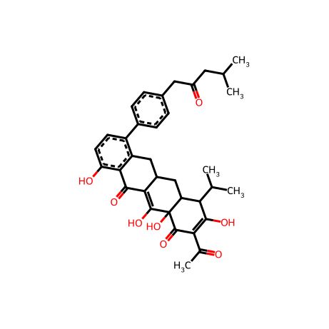 CC(=O)C1=C(O)C(C(C)C)C2CC3Cc4c(-c5ccc(CC(=O)CC(C)C)cc5)ccc(O)c4C(=O)C3=C(O)C2(O)C1=O